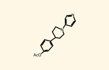 CC(=O)Oc1ccc(C2CCN(c3ccncc3)CC2)cc1